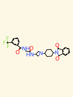 O=C(CNC(=O)c1cccc(C(F)(F)F)c1)NC1CN(C2CCC(N3C(=O)c4ccccc4C3=O)CC2)C1